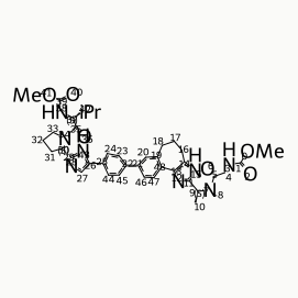 COC(=O)NCC(=O)N(C)[C@@H](C)c1nc2c([nH]1)CCCc1cc(-c3ccc(-c4cnc([C@@H]5CCCN5C(=O)[C@@H](NC(=O)OC)C(C)C)[nH]4)cc3)ccc1-2